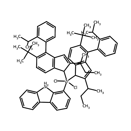 CCC(C)C1=Cc2c(ccc(C(C)(C)C)c2-c2ccccc2C(C)C)[CH]1[Zr]([Cl])([Cl])([c]1cccc2c1[SiH2]c1ccccc1-2)[CH]1C(C(C)CC)=Cc2c1ccc(C(C)(C)C)c2-c1ccccc1C(C)C